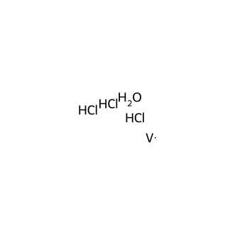 Cl.Cl.Cl.O.[V]